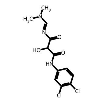 CN(C)C=NC(=O)C(O)C(=O)Nc1ccc(Cl)c(Cl)c1